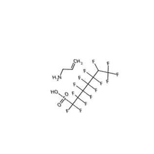 C=CCN.O=S(=O)(O)C(F)(F)C(F)(F)C(F)(F)C(F)(F)C(F)(F)C(F)C(F)(F)F